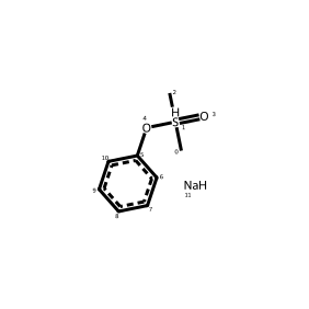 C[SH](C)(=O)Oc1ccccc1.[NaH]